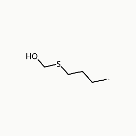 [CH2]CCCSCO